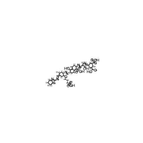 Cc1cc(N=Nc2ccc3c(S(=O)(=O)O)c(N=Nc4cnn(-c5cc(C(=O)O)cc(S(=O)(=O)O)c5)c4O)ccc3c2O)c(OCCCS(=O)(=O)O)cc1N=Nc1nc2ccccc2s1